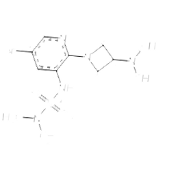 CN(C)C1CN(c2ncc(Br)cc2NS(=O)(=O)N(C)C)C1